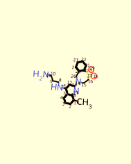 Cc1cccc2c(NCCCN)cc(N3CCS(=O)(=O)c4ccccc4C3)nc12